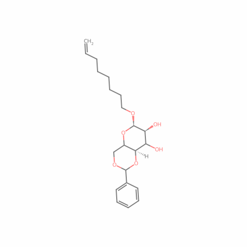 C=CCCCCCCO[C@@H]1OC2COC(c3ccccc3)O[C@@H]2C(O)[C@@H]1O